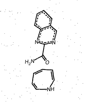 C1=CC=CNC=C1.NC(=O)c1ncc2ccccc2n1